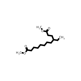 CCC(CCCCCCCC(=O)OC)CCC(=O)OC